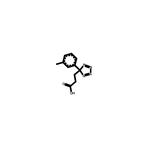 Cc1cccc(C2(CCC(=O)O)N=NN=N2)c1